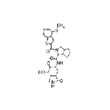 COc1cccc2sc(C(=O)N3CC4CCCC4C3C(=O)NC(CC3CCNC3=O)C(=O)CO)cc12